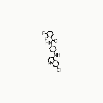 O=C(N[C@H]1CC[C@@H](Nc2ccnc3cc(Cl)ccc23)CC1)c1cccc(F)c1F